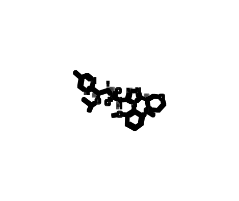 COc1cccc(OC)c1-n1c(NS(=O)(=O)[C@@H](C)[C@@H](OC(C)C)c2ncc(C)cn2)nnc1[C@H]1COCCO1